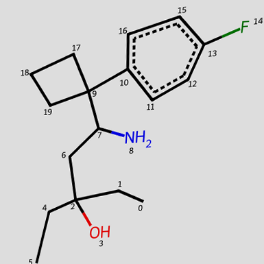 CCC(O)(CC)CC(N)C1(c2ccc(F)cc2)CCC1